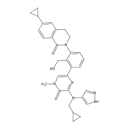 Cn1cc(-c2cccc(N3CCc4cc(C5CC5)ccc4C3=O)c2CO)nc(N(CC2CC2)c2cn[nH]c2)c1=O